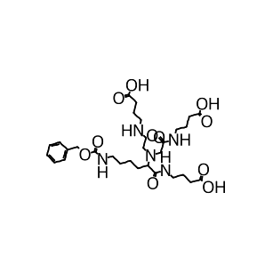 O=C(O)CCCNC(=O)CN(CC(=O)NCCCC(=O)O)C(CCCCNC(=O)OCc1ccccc1)C(=O)NCCCC(=O)O